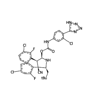 CC(C)(C)C[C@@H]1N[C@H](OC(=O)Nc2ccc(-c3nnn[nH]3)c(Cl)c2)[C@H](c2cccc(Cl)c2F)[C@@]1(C#N)c1ccc(Cl)cc1F